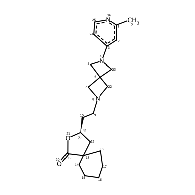 Cc1cc(N2CC3(CN(CC[C@H]4CC5(CCCCC5)C(=O)O4)C3)C2)ccn1